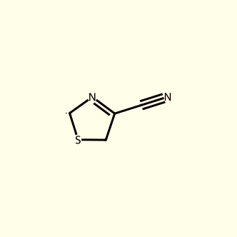 N#CC1=N[CH]SC1